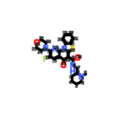 CN1CCCCC1CNC(=O)c1c(=O)c2cc(F)c(N3CCOCC3)nc2n2c1sc1ccccc12